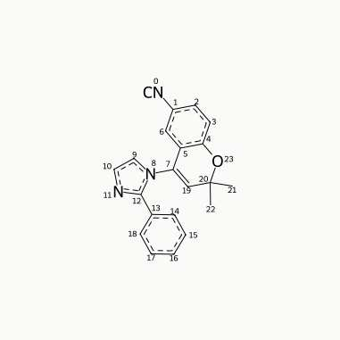 [C-]#[N+]c1ccc2c(c1)C(n1ccnc1-c1ccccc1)=CC(C)(C)O2